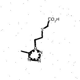 Cc1nnnn1CCSCC(=O)O